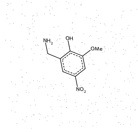 COc1cc([N+](=O)[O-])cc(CN)c1O